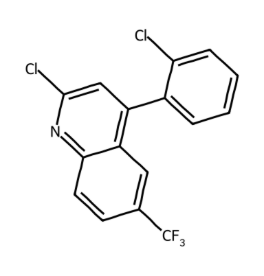 FC(F)(F)c1ccc2nc(Cl)cc(-c3ccccc3Cl)c2c1